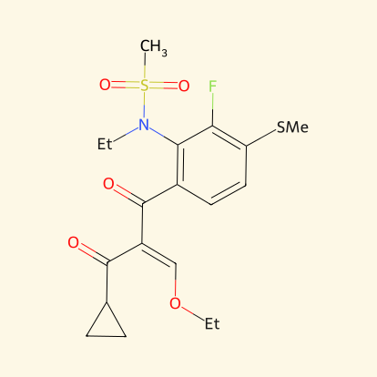 CCOC=C(C(=O)c1ccc(SC)c(F)c1N(CC)S(C)(=O)=O)C(=O)C1CC1